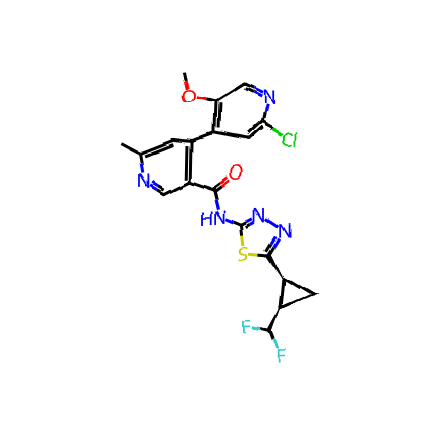 COc1cnc(Cl)cc1-c1cc(C)ncc1C(=O)Nc1nnc([C@H]2C[C@H]2C(F)F)s1